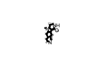 Cn1c2cc3ccncc3cc2c2c(=O)[nH]ccc21